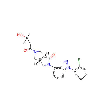 CC(C)(O)CC(=O)N1C[C@H]2CN(c3cccc4c3cnn4-c3ccccc3F)C(=O)[C@H]2C1